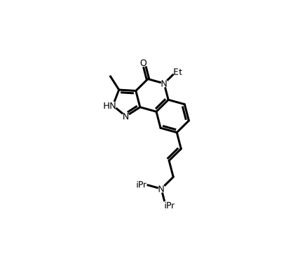 CCn1c(=O)c2c(C)[nH]nc2c2cc(C=CCN(C(C)C)C(C)C)ccc21